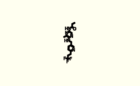 CCC(=O)Nc1cnc(NCc2ccc(CCC(F)(F)F)nc2)c(C)n1